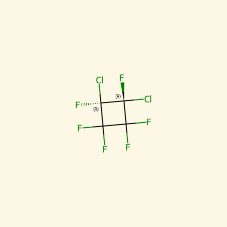 FC1(F)C(F)(F)[C@@](F)(Cl)[C@]1(F)Cl